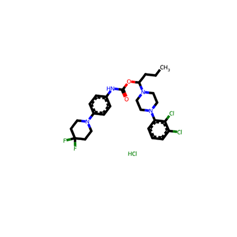 CCCC(OC(=O)Nc1ccc(N2CCC(F)(F)CC2)cc1)N1CCN(c2cccc(Cl)c2Cl)CC1.Cl